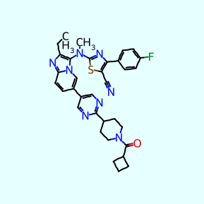 CCc1nc2ccc(-c3cnc(C4CCN(C(=O)C5CCC5)CC4)nc3)cn2c1N(C)c1nc(-c2ccc(F)cc2)c(C#N)s1